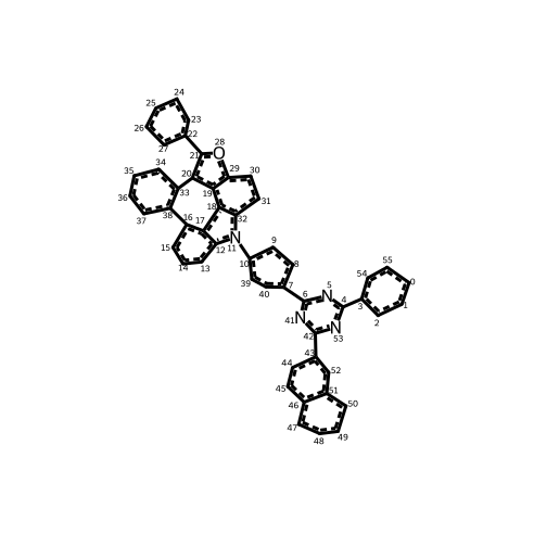 c1ccc(-c2nc(-c3ccc(-n4c5cccc6c5c5c7c(c(-c8ccccc8)oc7ccc54)-c4ccccc4-6)cc3)nc(-c3ccc4ccccc4c3)n2)cc1